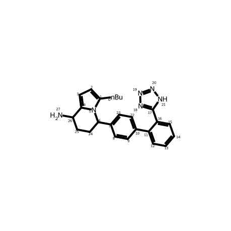 CCCCc1ccc2n1C(c1ccc(-c3ccccc3-c3nnn[nH]3)cc1)CCC2N